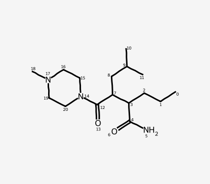 CCCC(C(N)=O)C(CC(C)C)C(=O)N1CCN(C)CC1